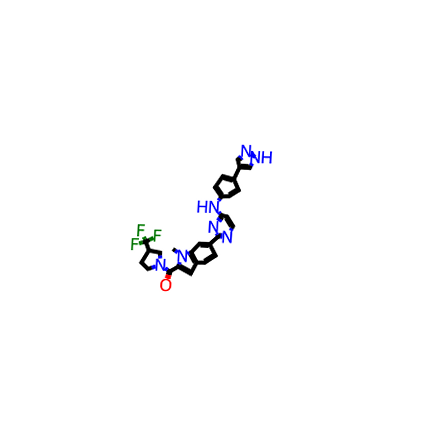 Cn1c(C(=O)N2CCC(C(F)(F)F)C2)cc2ccc(-c3nccc(Nc4ccc(-c5cn[nH]c5)cc4)n3)cc21